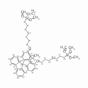 CO[Si](CCCSCCCOc1ccc(C2(c3cccc(OCCCSCCC[Si](OC)(OC)OC)c3C)c3ccccc3-c3ccccc32)cc1C)(OC)OC